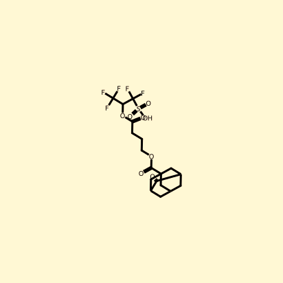 O=C(CCCOC(=O)C12CC3CC(C1)C(=O)C(C3)C2)OC(C(F)(F)F)C(F)(F)S(=O)(=O)O